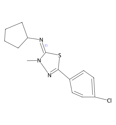 Cn1nc(-c2ccc(Cl)cc2)s/c1=N/C1CCCC1